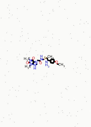 CCOc1ccc(C(N)C(C)SCNC(=O)CN2CNc3c2c(=O)n(C)c(=O)n3C)cc1